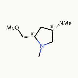 CN[C@H]1C[C@@H](COC)N(C)C1